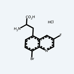 Cl.NC(Cc1ccc(Br)c2ncc(F)cc12)C(=O)O